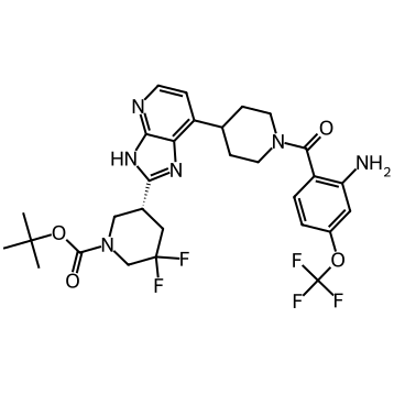 CC(C)(C)OC(=O)N1C[C@H](c2nc3c(C4CCN(C(=O)c5ccc(OC(F)(F)F)cc5N)CC4)ccnc3[nH]2)CC(F)(F)C1